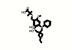 CCCCC1(CC)CN(c2ccccc2)c2cc(OC)c(CSC(C)(C)C(=O)O)cc2S(O)(O)C1